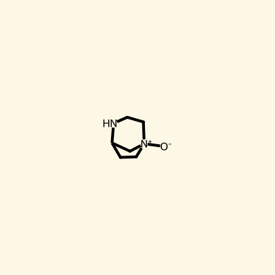 [O-][N+]12CCNC(CC1)C2